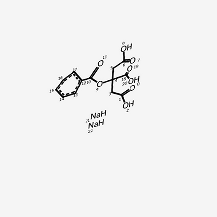 O=C(O)CC(CC(=O)O)(OC(=O)c1ccccc1)C(=O)O.[NaH].[NaH]